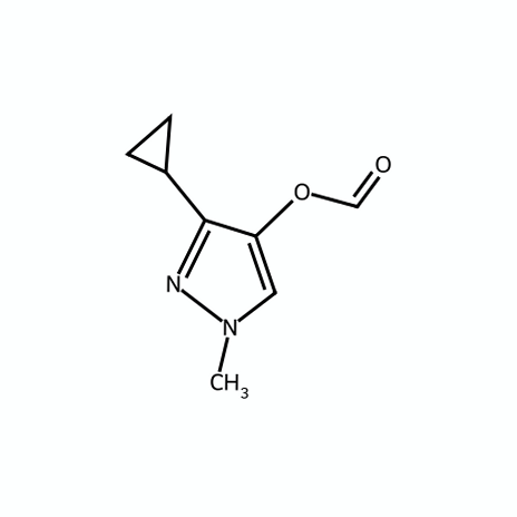 Cn1cc(OC=O)c(C2CC2)n1